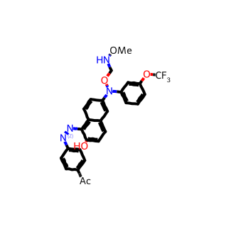 CONCON(c1cccc(OC(F)(F)F)c1)c1ccc2c(/N=N\c3ccc(C(C)=O)cc3)c(O)ccc2c1